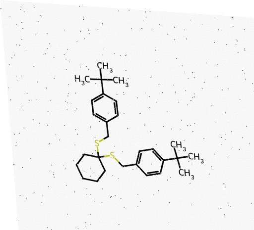 CC(C)(C)c1ccc(CSC2(SCc3ccc(C(C)(C)C)cc3)CCCCC2)cc1